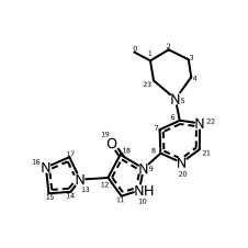 CC1CCCN(c2cc(-n3[nH]cc(-n4ccnc4)c3=O)ncn2)C1